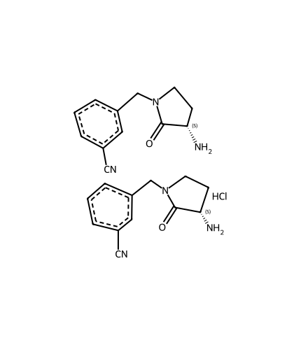 Cl.N#Cc1cccc(CN2CC[C@H](N)C2=O)c1.N#Cc1cccc(CN2CC[C@H](N)C2=O)c1